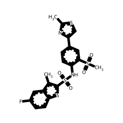 Cc1nc(-c2ccc(NS(=O)(=O)c3sc4ccc(F)cc4c3C)c(S(C)(=O)=O)c2)cs1